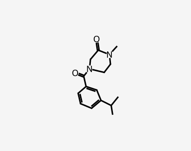 CC(C)c1cccc(C(=O)N2CCN(C)C(=O)C2)c1